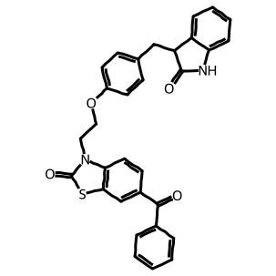 O=C(c1ccccc1)c1ccc2c(c1)sc(=O)n2CCOc1ccc(CC2C(=O)Nc3ccccc32)cc1